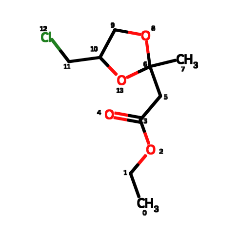 CCOC(=O)CC1(C)OCC(CCl)O1